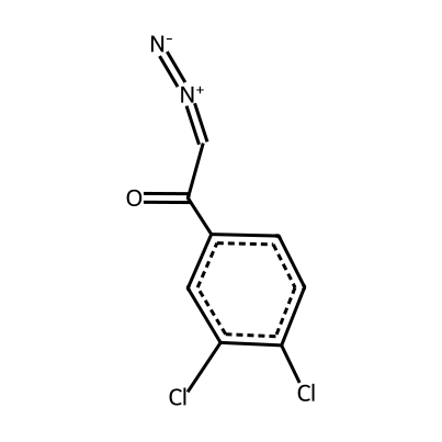 [N-]=[N+]=CC(=O)c1ccc(Cl)c(Cl)c1